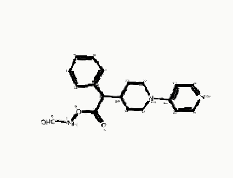 O=CNOC(=O)C(c1ccccc1)C1CCN(c2ccncc2)CC1